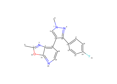 Cc1nc2c(-c3cn(C)nc3-c3ccc(F)cc3)ccnc2o1